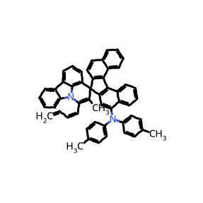 C=C/C=C\C1=C(C)C2(c3ccc4ccccc4c3-c3c2cc(N(c2ccc(C)cc2)c2ccc(C)cc2)c2ccccc32)c2cccc3c4ccccc4n1c23